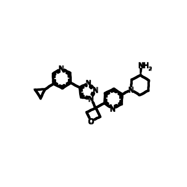 N[C@H]1CCCN(c2ccc(C3(n4cc(-c5cncc(C6CC6)c5)nn4)COC3)nc2)C1